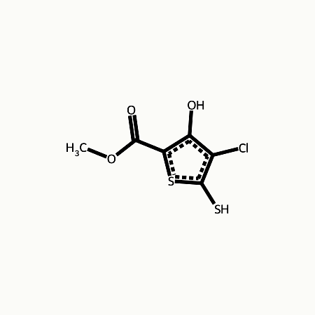 COC(=O)c1sc(S)c(Cl)c1O